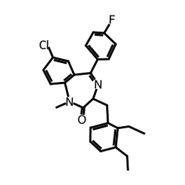 CCc1cccc(CC2N=C(c3ccc(F)cc3)c3cc(Cl)ccc3N(C)C2=O)c1CC